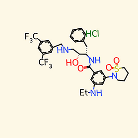 CCNc1cc(C(=O)N[C@@H](Cc2ccccc2)[C@H](O)CNCc2cc(C(F)(F)F)cc(C(F)(F)F)c2)cc(N2CCCCS2(=O)=O)c1.Cl